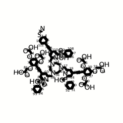 N#CSc1ccc(C#Cc2cc(CN3CCN(Cc4cc(C#Cc5c(OCC(=O)O)cc(OCC(=O)O)cc5OCC(=O)O)cc(P(O)c5ccccc5)n4)CCN(Cc4cc(C#Cc5c(OCC(=O)O)cc(OCC(=O)O)cc5OCC(=O)O)cc(P(=O)(O)c5ccccc5)n4)CC3)nc(P(=O)(O)c3ccccc3)c2)cc1